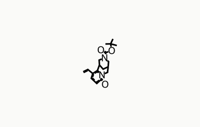 C=Cc1ccc(=O)n2c1C1CC(CN(C(=O)OC(C)(C)C)C1)C2